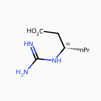 CCC[C@@H](CC(=O)O)NC(=N)N